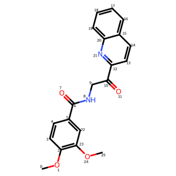 COc1ccc(C(=O)NCC(=O)c2ccc3ccccc3n2)cc1OC